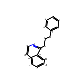 c1ccc(CCCc2nccc3ccccc23)cc1